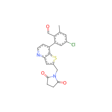 Cc1cc(Cl)cc(-c2ccnc3cc(CN4C(=O)CCC4=O)sc23)c1C=O